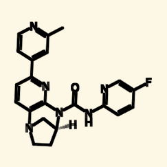 Cc1cc(-c2ccc3c(n2)N(C(=O)Nc2ccc(F)cn2)[C@H]2CCN3C2)ccn1